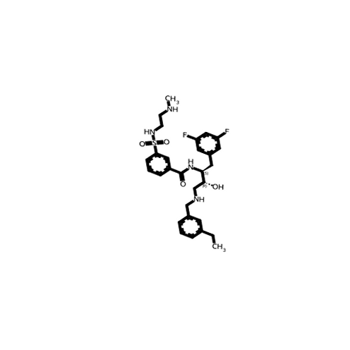 CCc1cccc(CNC[C@@H](O)[C@H](Cc2cc(F)cc(F)c2)NC(=O)c2cccc(S(=O)(=O)NCCNC)c2)c1